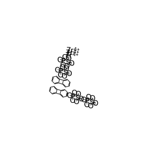 O=P([O-])([O-])S(=O)(=O)[O-].O=P([O-])([O-])S(=O)(=O)[O-].O=P([O-])([O-])S(=O)(=O)[O-].O=P([O-])([O-])S(=O)(=O)[O-].[Zr+4].[Zr+4].[Zr+4].c1ccc2c(c1)-c1ccccc1-2.c1ccc2c(c1)-c1ccccc1-2